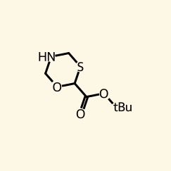 CC(C)(C)OC(=O)C1OCNCS1